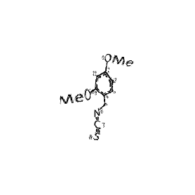 COc1ccc(CN=C=S)c(OC)c1